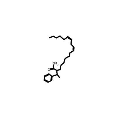 CCCCC/C=C\C/C=C\CCCCCCC(C(N)=O)C(C)c1ccccc1